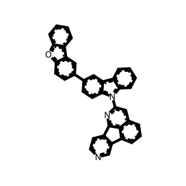 c1cc2c3c(nc(-n4c5ccccc5c5cc(-c6ccc7oc8ccccc8c7c6)ccc54)cc3c1)-c1ccncc1-2